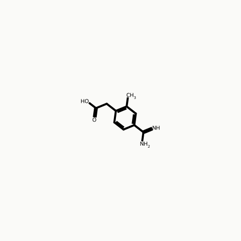 Cc1cc(C(=N)N)ccc1CC(=O)O